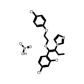 CCC(=C(OCCOc1ccc(Cl)cc1)c1ccc(Cl)cc1Cl)n1ccnc1.O=[N+]([O-])O